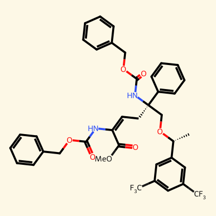 COC(=O)/C(=C\C[C@](CO[C@H](C)c1cc(C(F)(F)F)cc(C(F)(F)F)c1)(NC(=O)OCc1ccccc1)c1ccccc1)NC(=O)OCc1ccccc1